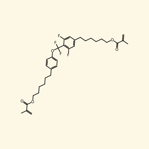 C=C(C)C(=O)OCCCCCCc1ccc(OC(F)(F)c2c(F)cc(CCCCCCOC(=O)C(=C)C)cc2F)cc1